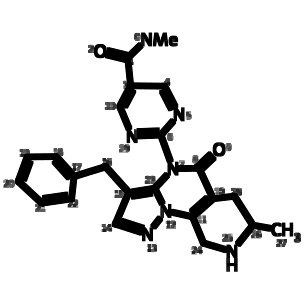 CNC(=O)c1cnc(-n2c(=O)c3c(n4ncc(Cc5ccccc5)c24)CNC(C)C3)nc1